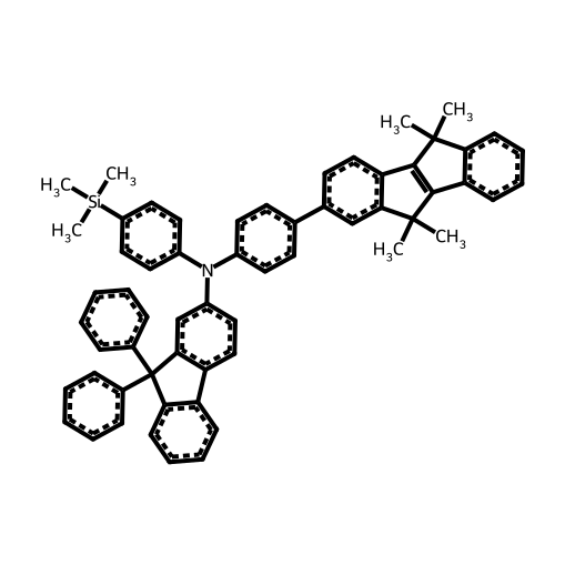 CC1(C)C2=C(c3ccccc31)C(C)(C)c1cc(-c3ccc(N(c4ccc([Si](C)(C)C)cc4)c4ccc5c(c4)C(c4ccccc4)(c4ccccc4)c4ccccc4-5)cc3)ccc12